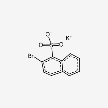 O=S(=O)([O-])c1c(Br)ccc2ccccc12.[K+]